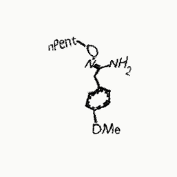 CCCCCON=C(N)c1ccc(OC)cc1